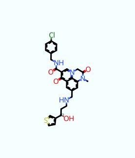 CN1C(=O)Cn2cc(C(=O)NCc3ccc(Cl)cc3)c(=O)c3cc(CNCC[C@H](O)c4ccsc4)cc1c32